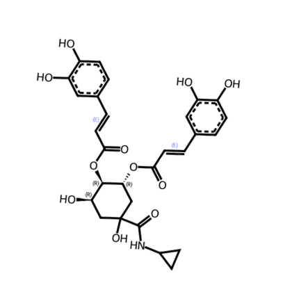 O=C(/C=C/c1ccc(O)c(O)c1)O[C@@H]1[C@H](O)CC(O)(C(=O)NC2CC2)C[C@H]1OC(=O)/C=C/c1ccc(O)c(O)c1